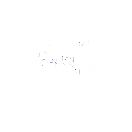 CCCN(C)c1cc(N/N=C/c2cc(C)ccc2O)nc(OCCN2CCOCC2)n1